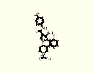 Nc1c(C(=O)Nc2ccc(Cl)cn2)cnn1-c1ccccc1C1=CN(C(=O)O)CCC1